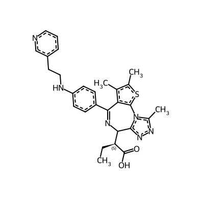 CC[C@H](C(=O)O)C1N=C(c2ccc(NCCc3cccnc3)cc2)c2c(sc(C)c2C)-n2c(C)nnc21